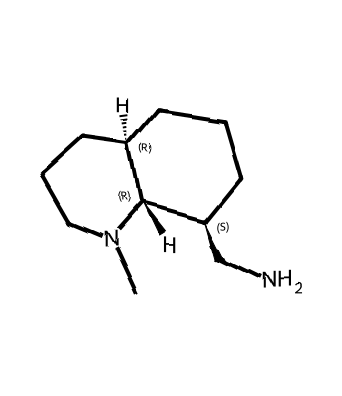 CN1CCC[C@H]2CCC[C@@H](CN)[C@@H]21